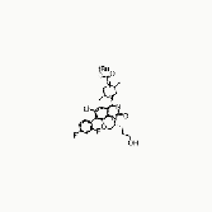 C[C@H]1CN(c2nc(=O)n3c4c(c(-c5ccc(F)cc5F)c(Cl)cc24)OC[C@H]3CCCO)[C@@H](C)CN1C(=O)OC(C)(C)C